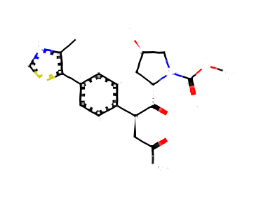 COC(=O)C[C@H](C(=O)[C@@H]1C[C@@H](O)CN1C(=O)OC(C)(C)C)c1ccc(-c2scnc2C)cc1